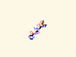 CC(C)C[C@H](NC(=O)CNC(=O)CNC(=O)c1cnccn1)C(=O)[C@@]1(C)CO1